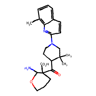 Cc1cccc2ccc(N3CCC(C(=O)C4(C(=O)O)CCCOC4N)C(C)(C)C3)nc12